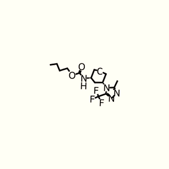 CCCCOC(=O)N[C@H]1CCC[C@@H](n2c(C)nnc2C(F)(F)F)C1